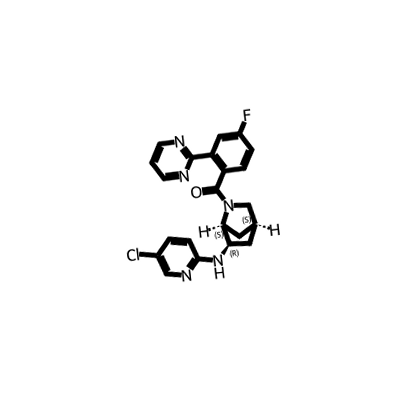 O=C(c1ccc(F)cc1-c1ncccn1)N1C[C@H]2C[C@@H](Nc3ccc(Cl)cn3)[C@@H]1C2